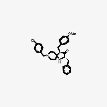 COc1ccc(CN2C(=O)[C@H](Cc3ccccc3)NC23CCN(Cc2ccc(Cl)cc2)CC3)cc1